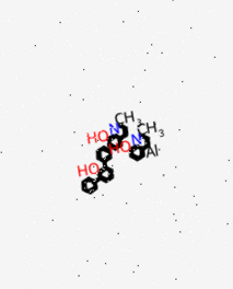 Cc1ccc2cccc(O)c2n1.Cc1ccc2cccc(O)c2n1.Oc1c(-c2ccccc2)cccc1-c1ccccc1.[Al]